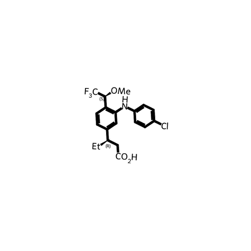 CC[C@H](CC(=O)O)c1ccc([C@H](OC)C(F)(F)F)c(Nc2ccc(Cl)cc2)c1